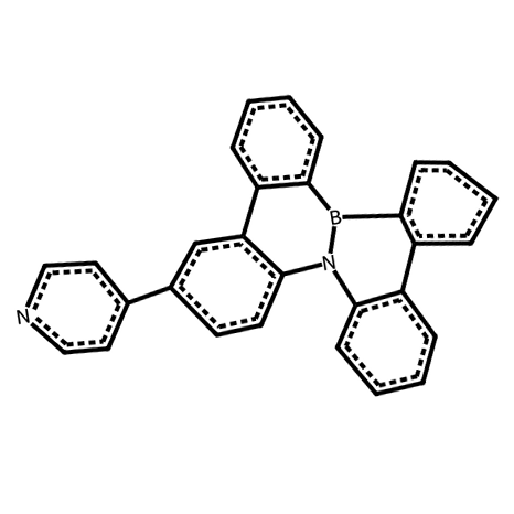 c1ccc2c(c1)B1c3ccccc3-c3cc(-c4ccncc4)ccc3N1c1ccccc1-2